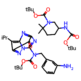 CC(C)(C)OC(=O)NC1CCC(C)(C)N(C(=O)OC(C)(C)C)C1.CC(C)c1c2nn3c(N(Cc4cccc(N)c4)C(=O)OC(C)(C)C)nc(nc13)C2=O